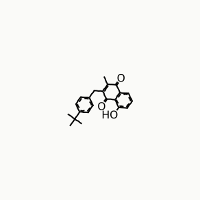 CC1=C(Cc2ccc(C(C)(C)C)cc2)C(=O)c2c(O)cccc2C1=O